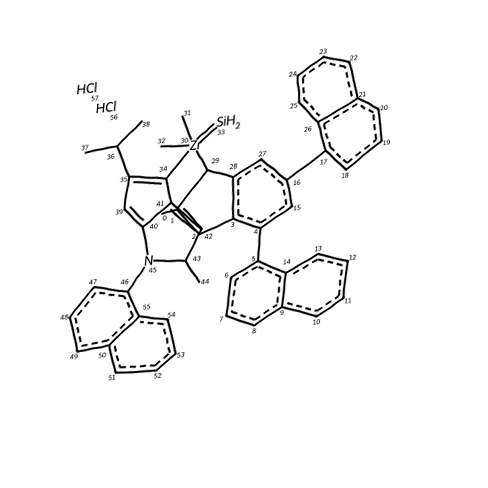 CC1=Cc2c(-c3cccc4ccccc34)cc(-c3cccc4ccccc34)cc2[CH]1[Zr]([CH3])([CH3])(=[SiH2])[C]1=C(C(C)C)C=C2C1=CC(C)N2c1cccc2ccccc12.Cl.Cl